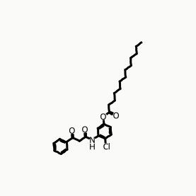 CCCCCCCCCCCCC(=O)Oc1ccc(Cl)c(NC(=O)CC(=O)c2ccccc2)c1